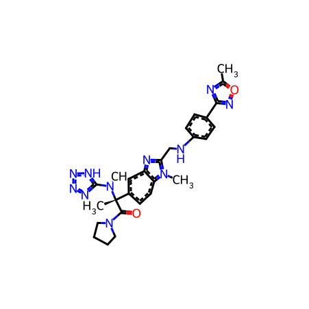 Cc1nc(-c2ccc(NCc3nc4cc([C@](C)(C(=O)N5CCCC5)N(C)c5nnn[nH]5)ccc4n3C)cc2)no1